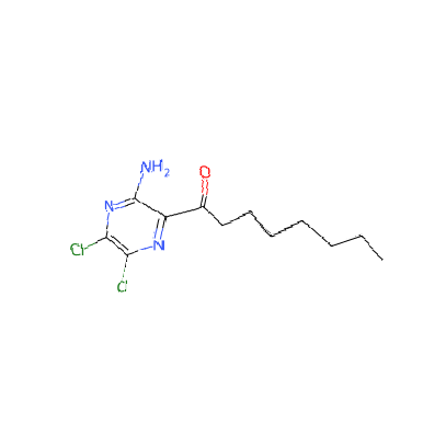 CCCCCCCC(=O)c1nc(Cl)c(Cl)nc1N